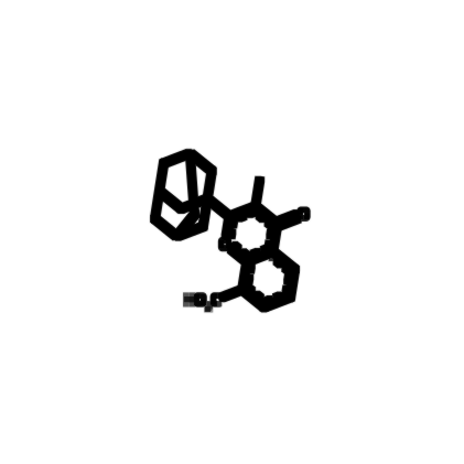 Cc1c(C23CC4CC(CC(C4)C2)C3)oc2c(C(=O)O)cccc2c1=O